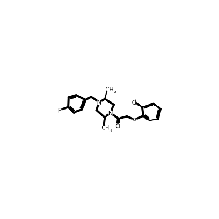 CC1CN(C(=O)COc2ccccc2Cl)C(C)CN1Cc1ccc(F)cc1